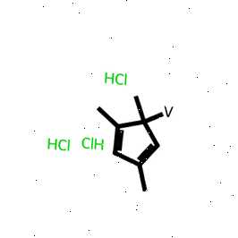 CC1=C[C](C)([V])C(C)=C1.Cl.Cl.Cl